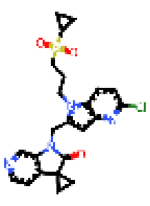 O=C1N(Cc2cc3nc(Cl)ccc3n2CCCS(=O)(=O)C2CC2)c2cnccc2C12CC2